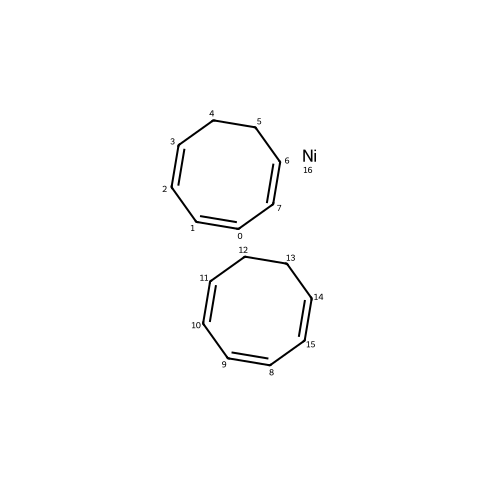 C1=C\C=C/CC\C=C/1.C1=C\C=C/CC\C=C/1.[Ni]